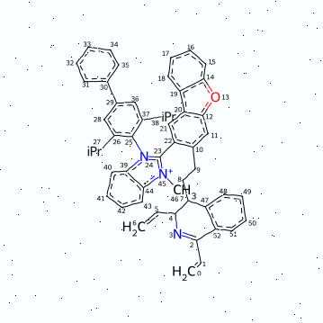 C=CC1=NC(C=C)C(CCc2cc3oc4ccccc4c3cc2-c2n(-c3c(C(C)C)cc(-c4ccccc4)cc3C(C)C)c3ccccc3[n+]2C)c2ccccc21